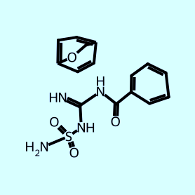 N=C(NC(=O)c1ccccc1)NS(N)(=O)=O.c1cc2ccc1CO2